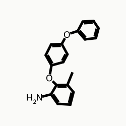 Cc1cccc(N)c1Oc1ccc(Oc2ccccc2)cc1